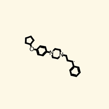 [CH](CCN1CCN(c2ccc(OC3CCCC3)cc2)CC1)c1ccccc1